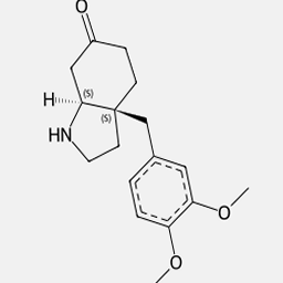 COc1ccc(C[C@@]23CCN[C@H]2CC(=O)CC3)cc1OC